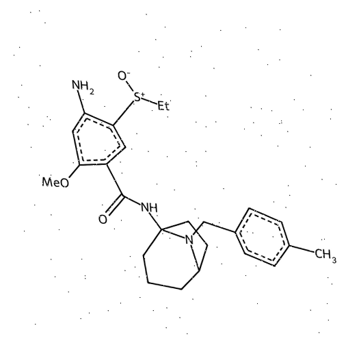 CC[S+]([O-])c1cc(C(=O)NC23CCCC(CC2)N3Cc2ccc(C)cc2)c(OC)cc1N